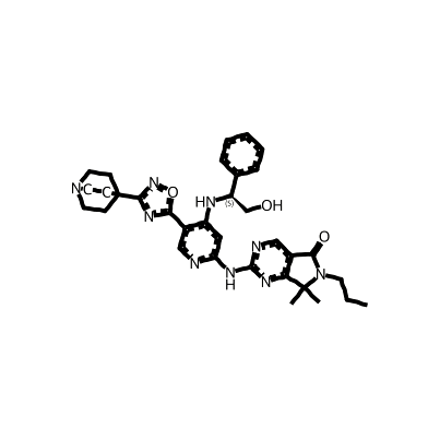 CCCN1C(=O)c2cnc(Nc3cc(N[C@H](CO)c4ccccc4)c(-c4nc(C56CCN(CC5)CC6)no4)cn3)nc2C1(C)C